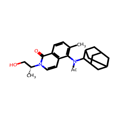 CC(=O)N(c1c(C)ccc2c(=O)n([C@H](C)CO)ccc12)C1C2CC3CC(C2)CC1C3